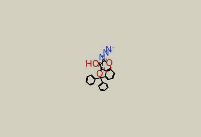 [N-]=[N+]=N[C@H]1OCC[C@@H](OC(c2ccccc2)(c2ccccc2)c2ccccc2)[C@H]1O